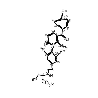 CC(C)C[C@H](NCCc1cc(F)c(-n2c(N)c(C(=O)c3ccc(F)cc3)ccc2=O)c(F)c1)C(=O)O